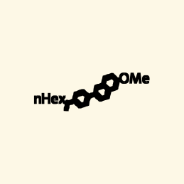 CCCCCCC(C)c1ccc(-c2ccc3cc(OC)ccc3c2)cc1